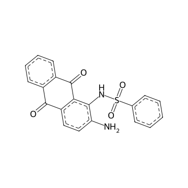 Nc1ccc2c(c1NS(=O)(=O)c1ccccc1)C(=O)c1ccccc1C2=O